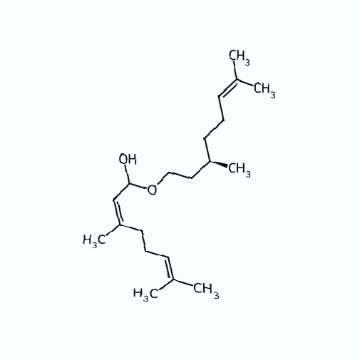 CC(C)=CCC/C(C)=C\C(O)OCC[C@H](C)CCC=C(C)C